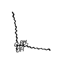 CCCCCCCCC=CCCCCCCCCOC(CO)C(P)OC(=O)CCCCCCCCCCCCCCC